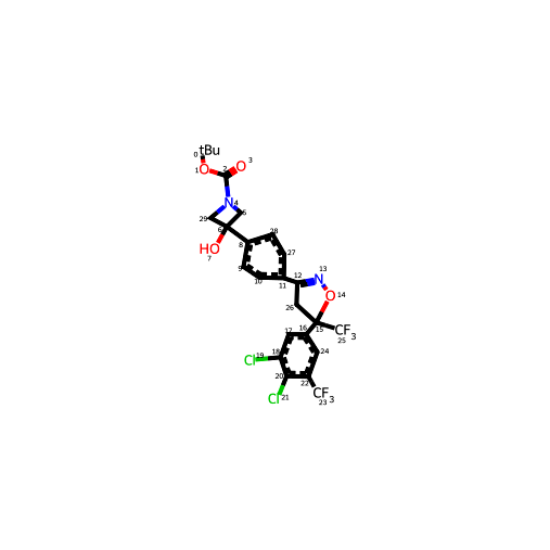 CC(C)(C)OC(=O)N1CC(O)(c2ccc(C3=NOC(c4cc(Cl)c(Cl)c(C(F)(F)F)c4)(C(F)(F)F)C3)cc2)C1